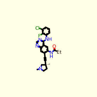 CCC(=O)Nc1cc2c(Nc3cccc(Cl)c3F)ncnc2cc1C#C[C@@]1(C)CCN(C)C1